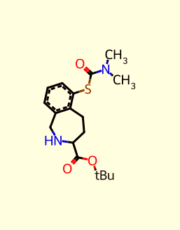 CN(C)C(=O)Sc1cccc2c1CCC(C(=O)OC(C)(C)C)NC2